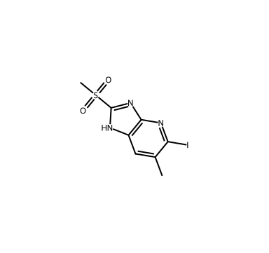 Cc1cc2[nH]c(S(C)(=O)=O)nc2nc1I